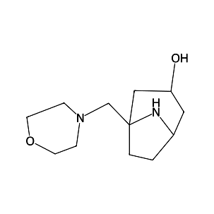 OC1CC2CCC(CN3CCOCC3)(C1)N2